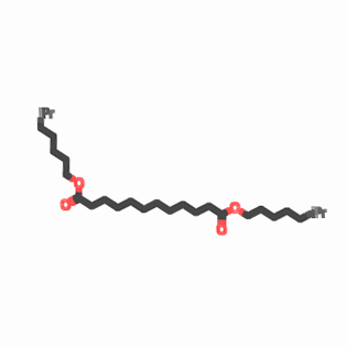 CC(C)CCCCCOC(=O)CCCCCCCCCCC(=O)OCCCCCC(C)C